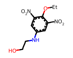 CCOc1c([N+](=O)[O-])cc(NCCO)cc1[N+](=O)[O-]